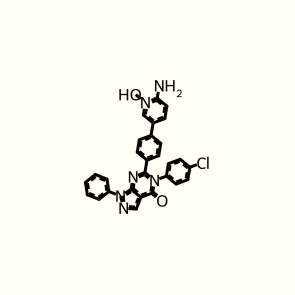 Nc1ccc(-c2ccc(-c3nc4c(cnn4-c4ccccc4)c(=O)n3-c3ccc(Cl)cc3)cc2)c[n+]1O